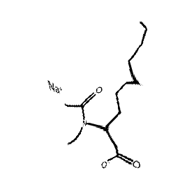 CCCCCCC(C(=O)[O-])N(C)C(C)=O.[Na+]